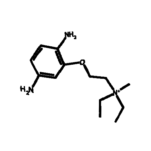 CC[N+](C)(CC)CCOc1cc(N)ccc1N